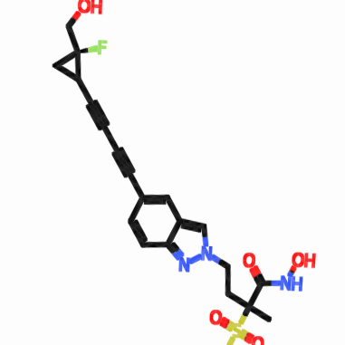 CC(CCn1cc2cc(C#CC#CC3C[C@]3(F)CO)ccc2n1)(C(=O)NO)S(C)(=O)=O